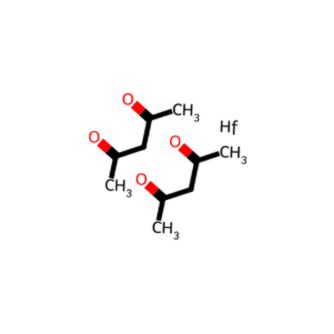 CC(=O)CC(C)=O.CC(=O)CC(C)=O.[Hf]